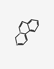 C1=CN2CN=CC=C2c2ccccc21